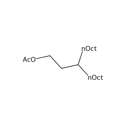 CCCCCCCCC(CCCCCCCC)CCOC(C)=O